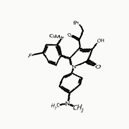 COc1cc(F)ccc1C1C(C(=O)CC(C)C)=C(O)C(=O)N1c1ccc(N(C)C)cc1